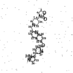 O=C1OCCN1C1CCN(Cc2ccc3cc(Oc4ccc(-c5ccn[nH]5)cn4)ccc3n2)CC1